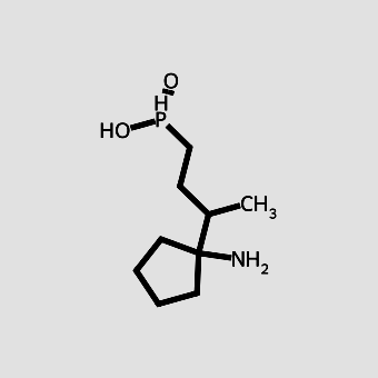 CC(CC[PH](=O)O)C1(N)CCCC1